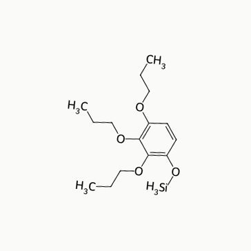 CCCOc1ccc(O[SiH3])c(OCCC)c1OCCC